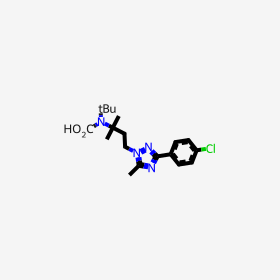 Cc1nc(-c2ccc(Cl)cc2)nn1CCC(C)(C)N(C(=O)O)C(C)(C)C